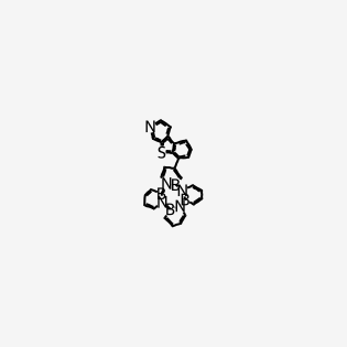 C1=CB2N(C=C1)B1C=CC=CN1B1C=C(c3cccc4c3sc3cnccc34)C=CN1B1C=CC=CN21